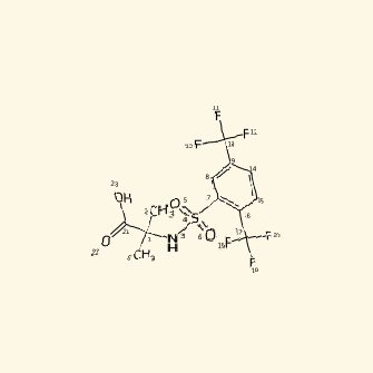 CC(C)(NS(=O)(=O)c1cc(C(F)(F)F)ccc1C(F)(F)F)C(=O)O